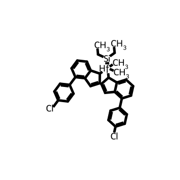 CC[Si](CC)=[Hf]([CH3])([CH3])([CH]1C=Cc2c(-c3ccc(Cl)cc3)cccc21)[CH]1C=Cc2c(-c3ccc(Cl)cc3)cccc21